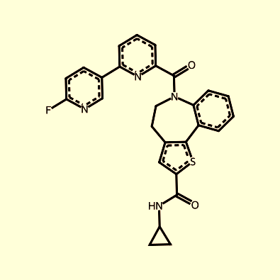 O=C(NC1CC1)c1cc2c(s1)-c1ccccc1N(C(=O)c1cccc(-c3ccc(F)nc3)n1)CC2